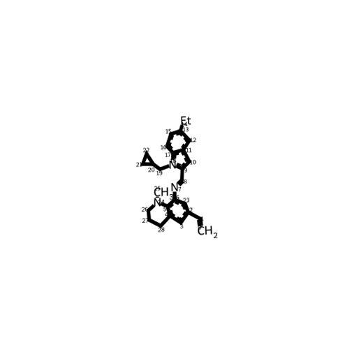 C=Cc1cc2c(c(/N=C/c3cc4cc(CC)ccc4n3CC3CC3)c1)N(C)CCC2